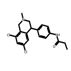 CCC(=O)Nc1ccc(C2CN(C)Cc3c(Cl)cc(Cl)cc32)cc1